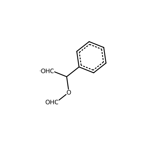 O=[C]C(OC=O)c1ccccc1